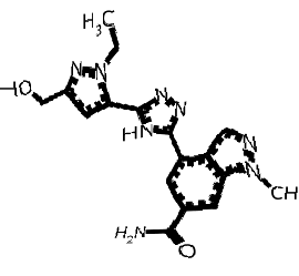 CCn1nc(CO)cc1-c1nnc(-c2cc(C(N)=O)cc3c2cnn3C)[nH]1